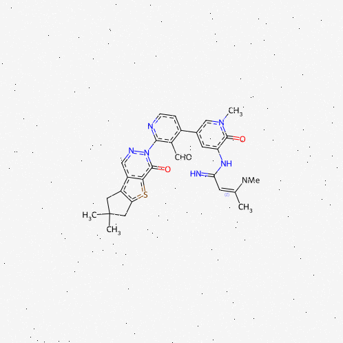 CN/C(C)=C\C(=N)Nc1cc(-c2ccnc(-n3ncc4c5c(sc4c3=O)CC(C)(C)C5)c2C=O)cn(C)c1=O